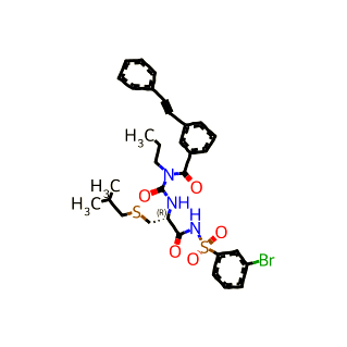 CCCN(C(=O)N[C@@H](CSCC(C)C)C(=O)NS(=O)(=O)c1cccc(Br)c1)C(=O)c1cccc(C#Cc2ccccc2)c1